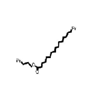 CC(C)CCCCCCCCCCCCCCCC(=O)OCCCC(C)C